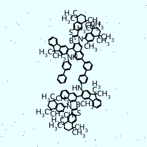 CB1c2sc3cc4c(cc3c2N(c2cc3c(cc2C)C(C)(C)CCC3(C)C)c2c1c(-c1cc3c(cc1Nc1ccc(-c5cccc(-c6ccc7c(-c8cc9c(cc8Nc8ccc(-c%10ccccc%10)cc8)C(C)(C)c8ccccc8-9)c8[b+]c9sc%10cc%11c(cc%10c9n(-c9cc%10c(cc9C)C(C)(C)CCC%10(C)C)c8cc7c6)C(C)(C)CCC%11(C)C)c5)cc1)C(C)(C)c1ccccc1-3)cc1ccccc21)C(C)(C)CCC4(C)C